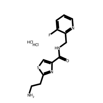 Cl.Cl.NCCc1nc(C(=O)NCc2ncccc2F)cs1